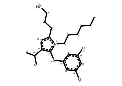 CCCCCCn1c(CCCO)nc(C(C)C)c1Sc1cc(Cl)cc(Cl)c1